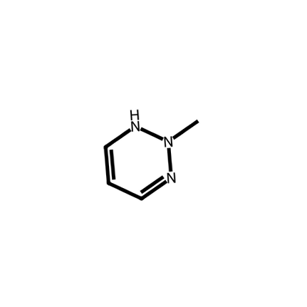 CN1N=CC=CN1